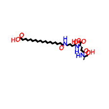 C[C@H](CO)NC(=O)CC[C@H](NC(=O)CCCNC(=O)CCCCCCCCCCCCCCCCC(=O)O)C(=O)O